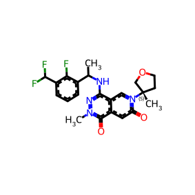 CC(Nc1nn(C)c(=O)c2cc(=O)n([C@@]3(C)CCOC3)cc12)c1cccc(C(F)F)c1F